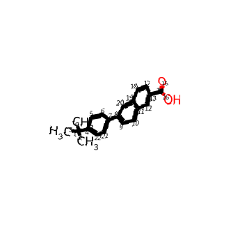 CC(C)(C)c1ccc(-c2ccc3cc(C(=O)O)ccc3c2)cc1